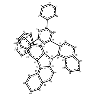 c1ccc(-c2nc(-c3ccccc3)nc(-c3ccc4ccccc4c3-n3c4cc5ccccc5cc4c4c5ccccc5ccc43)n2)cc1